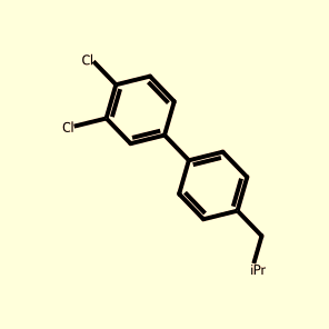 CC(C)Cc1ccc(-c2ccc(Cl)c(Cl)c2)cc1